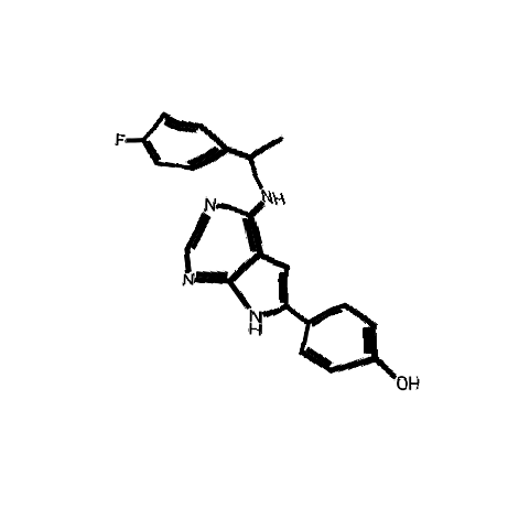 CC(Nc1ncnc2[nH]c(-c3ccc(O)cc3)cc12)c1ccc(F)cc1